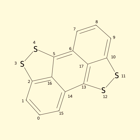 c1cc2ssc3c4cccc5ssc(c(c1)c23)c54